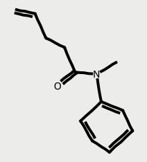 C=CCCC(=O)N(C)c1ccccc1